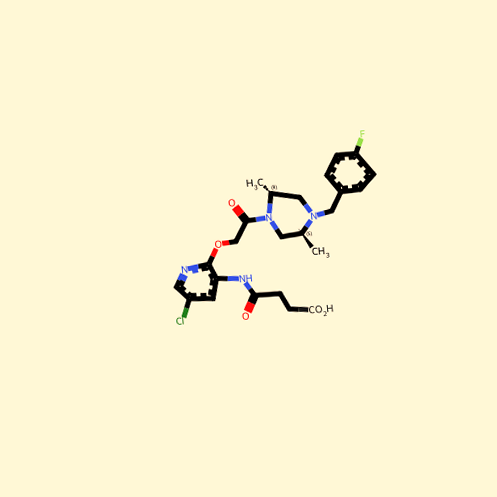 C[C@@H]1CN(Cc2ccc(F)cc2)[C@@H](C)CN1C(=O)COc1ncc(Cl)cc1NC(=O)CCC(=O)O